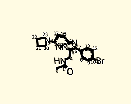 CC(=O)NCc1c(-c2ccc(Br)cc2)nc2ccc(N3CCCC3)nn12